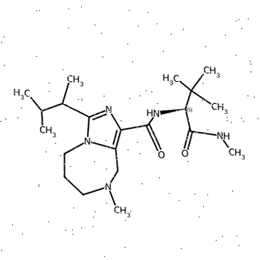 CNC(=O)[C@@H](NC(=O)c1nc(C(C)C(C)C)n2c1CN(C)CCC2)C(C)(C)C